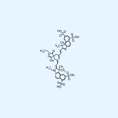 CCOC(=O)C1(C(=O)O)CC(/C=C/C2=Nc3ccc4c(S(=O)(=O)O)cc(S(=O)(=O)O)cc4c3C2(C)C)=CC(=C/C=C2/N(CC)c3ccc4c(S(=O)(=O)O)cc(S(=O)(=O)O)cc4c3C2(C)C)/C1